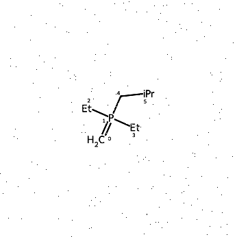 C=P(CC)(CC)CC(C)C